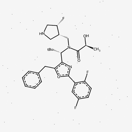 C[C@H](O)C(=O)N(C[C@@H]1CNC[C@@H]1F)[C@H](c1nc(-c2cc(F)ccc2F)oc1Cc1ccccc1)C(C)(C)C